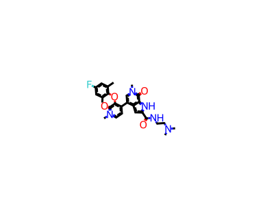 Cc1cc(F)cc(C)c1Oc1c(-c2cn(C)c(=O)c3[nH]c(C(=O)NCCN(C)C)cc23)ccn(C)c1=O